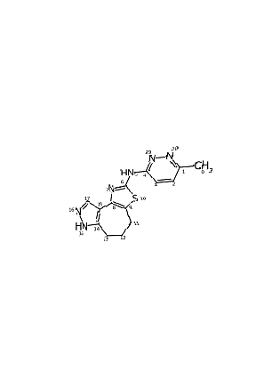 Cc1ccc(Nc2nc3c(s2)CCCc2[nH]ncc2-3)nn1